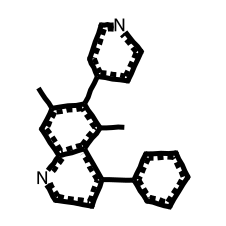 Cc1cc2nccc(-c3ccccc3)c2c(C)c1-c1ccncc1